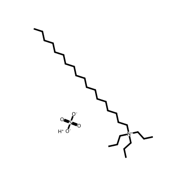 CCCCCCCCCCCCCCCCCC[N+](CCC)(CCC)CCC.O=S(=O)([O-])[O-].[H+]